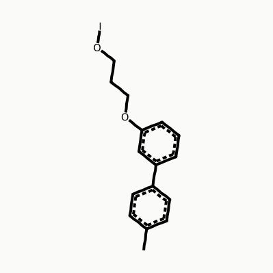 Cc1ccc(-c2cccc(OCCCOI)c2)cc1